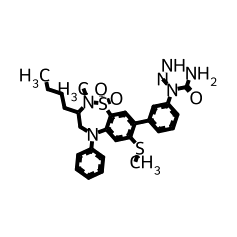 CCCCC1CN(c2ccccc2)c2cc(SC)c(-c3cccc(N(N=N)C(N)=O)c3)cc2S(=O)(=O)N1C